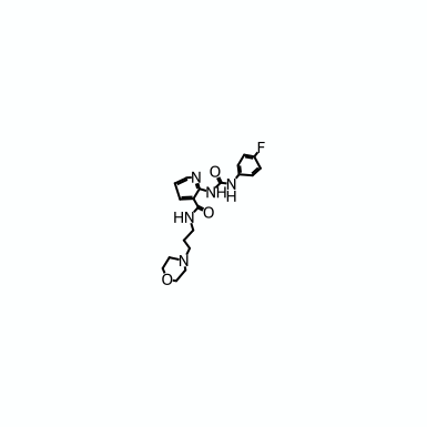 O=C(Nc1ccc(F)cc1)Nc1ncccc1C(=O)NCCCN1CCOCC1